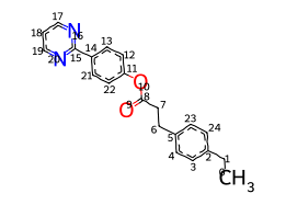 CCc1ccc(CCC(=O)Oc2ccc(-c3ncccn3)cc2)cc1